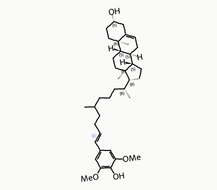 COc1cc(/C=C/CCC(C)CCC[C@@H](C)[C@H]2CC[C@H]3[C@@H]4CC=C5C[C@@H](O)CC[C@]5(C)[C@H]4CC[C@]23C)cc(OC)c1O